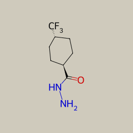 NNC(=O)[C@H]1CC[C@H](C(F)(F)F)CC1